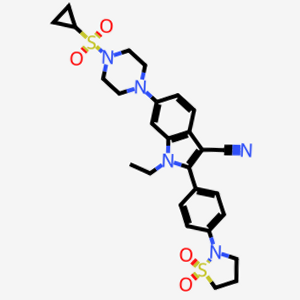 CCn1c(-c2ccc(N3CCCS3(=O)=O)cc2)c(C#N)c2ccc(N3CCN(S(=O)(=O)C4CC4)CC3)cc21